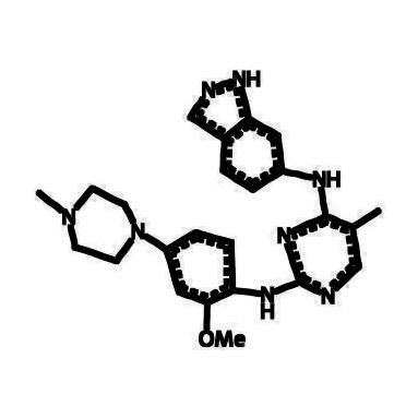 COc1cc(N2CCN(C)CC2)ccc1Nc1ncc(C)c(Nc2ccc3cn[nH]c3c2)n1